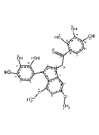 COc1cc(OC)c2c(-c3ccc(O)c(O)c3O)cn(CC(=O)c3ccc(O)c(O)c3O)c2c1